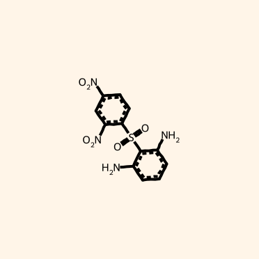 Nc1cccc(N)c1S(=O)(=O)c1ccc([N+](=O)[O-])cc1[N+](=O)[O-]